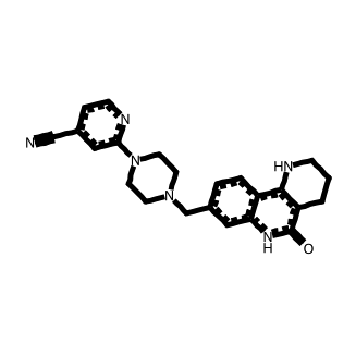 N#Cc1ccnc(N2CCN(Cc3ccc4c5c(c(=O)[nH]c4c3)CCCN5)CC2)c1